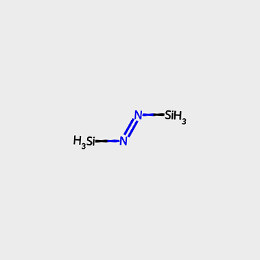 [SiH3]N=N[SiH3]